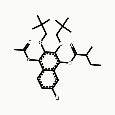 CCC(C)C(=O)Oc1c(OCC(C)(C)C)c(OCC(C)(C)C)c(OC(C)=O)c2ccc(Cl)cc12